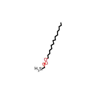 CCCCCCCCCCCCCCCCOOOC[SiH3]